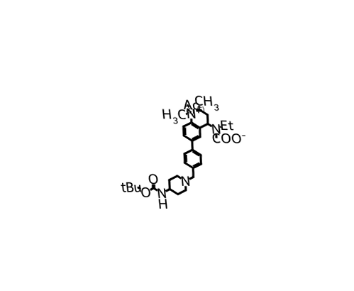 CCN(C(=O)[O-])C1C[C@H](C)[N@+](C)(C(C)=O)c2ccc(-c3ccc(CN4CCC(NC(=O)OC(C)(C)C)CC4)cc3)cc21